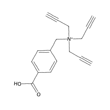 C#CC[N+](CC#C)(CC#C)Cc1ccc(C(=O)O)cc1